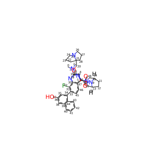 CN(C)CCCS(=O)(=O)N1[C@@H]2CC[C@H]1CN(c1nc(OCC34CCCN3CCC4)nc3c(F)c(-c4cc(O)cc5ccccc45)ccc13)C2